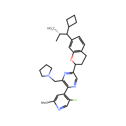 COc1cc(-c2ncc(C3CCc4ccc(C(C5CCC5)[C@H](C)C(=O)O)cc4O3)nc2CN2CCCC2)c(F)cn1